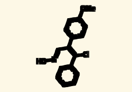 COc1ccc(C(C=NO)=C(Cl)c2ccccc2)cc1